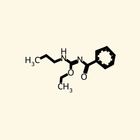 CCCN/C(=N/C(=O)c1ccccc1)OCC